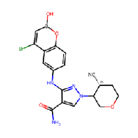 N#C[C@@H]1CCOCC1n1cc(C(N)=O)c(Nc2ccc3c(c2)C(Br)=CB(O)O3)n1